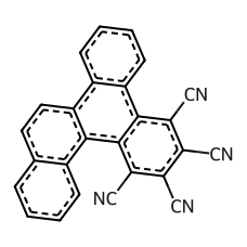 N#Cc1c(C#N)c(C#N)c2c(c1C#N)c1ccccc1c1ccc3ccccc3c12